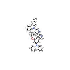 N#Cc1ccc2c(c1)c1ccccc1n2-c1cnc2c(c1)C1(c3ccccc3Oc3cc(-n4c5ccccc5c5ccccc54)ccc31)c1cccnc1-2